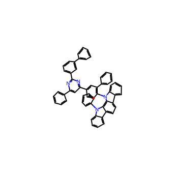 c1ccc(-c2cccc(-c3nc(-c4ccccc4)cc(-c4ccc(-n5c6ccccc6c6ccc7c8ccccc8n(-c8ccccc8)c7c65)c(-c5ccccc5)c4)n3)c2)cc1